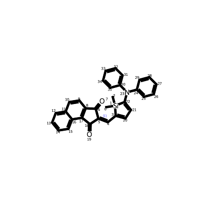 C[Si]1(C)C(/C=C2\C(=O)c3ccc4ccccc4c3C2=O)=CC=C1N(c1ccccc1)c1ccccc1